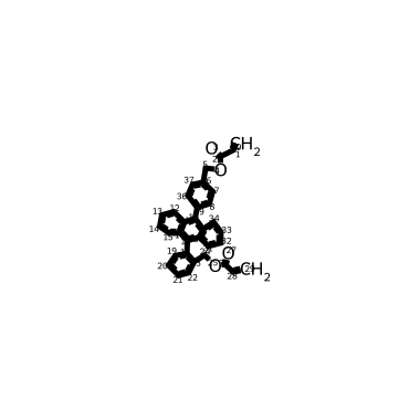 C=CC(=O)OCc1ccc(-c2c3ccccc3c(-c3ccccc3COC(=O)C=C)c3ccccc23)cc1